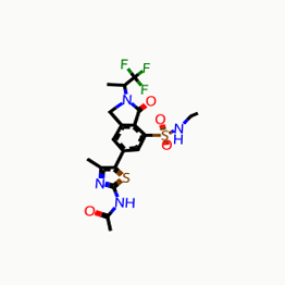 CCNS(=O)(=O)c1cc(-c2sc(NC(C)=O)nc2C)cc2c1C(=O)N(C(C)C(F)(F)F)C2